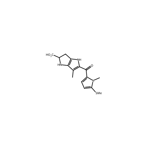 CSc1ccc(C(=O)c2[nH]c3c(c2C)NC(C(=O)O)C3)n1C